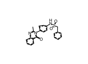 Cc1nc2ccccc2c(=O)n1-c1ccc(NS(=O)(=O)Cc2ccccc2)cc1